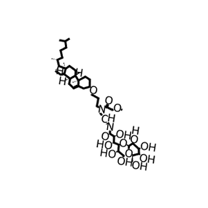 COCC(=O)N(CCCNC(=O)[C@H](O)[C@@H](O)[C@H](O[C@@H]1O[C@H](CO)[C@H](O)[C@H](O)[C@H]1O)[C@H](O)CO)CCCO[C@H]1CC[C@@]2(C)C(=CC[C@H]3[C@@H]4CC[C@H]([C@H](C)CCCC(C)C)[C@@]4(C)CC[C@@H]32)C1